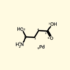 NC(O)CCC(=O)O.[Pd]